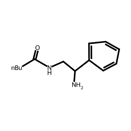 CCCCC(=O)NCC(N)c1ccccc1